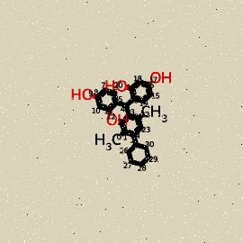 Cc1cc(C(c2ccc(O)cc2O)c2ccc(O)cc2O)c(C)cc1C1CCCCC1